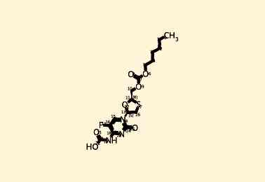 CCCCCCOC(=O)OC[C@@H]1O[C@H](n2cc(F)c(NC(=O)O)nc2=O)CS1